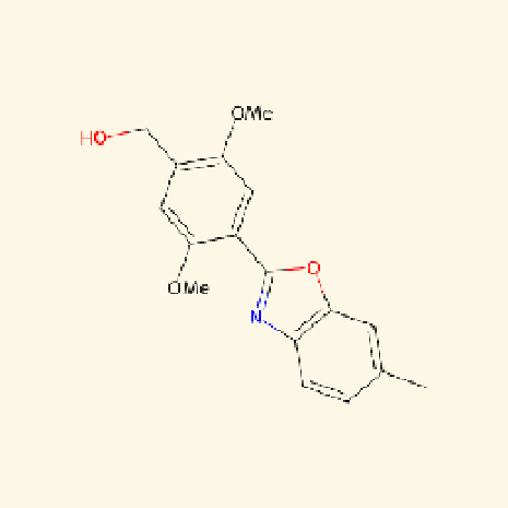 COc1cc(-c2nc3ccc(C)cc3o2)c(OC)cc1CO